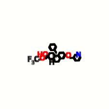 O[C@]1(COCC(F)(F)F)CC[C@@]2(Cc3ccccc3)c3ccc(OCc4cccnc4)cc3CC[C@@H]2C1